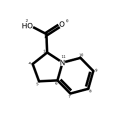 O=C(O)C1CCC2=CC=CCN21